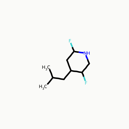 CC(C)CC1CC(F)NCC1F